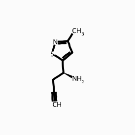 C#CC[C@H](N)c1cc(C)ns1